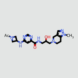 CC(=O)N1CC(Nc2cc(C(=O)NCC(O)CN3CCc4c(cnn4C)C3)ncn2)C1